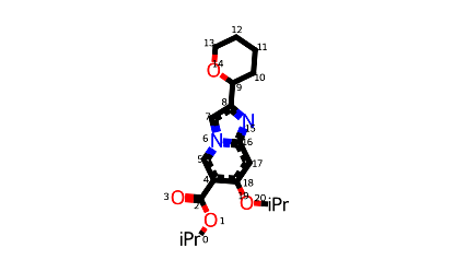 CC(C)OC(=O)c1cn2cc(C3CCCCO3)nc2cc1OC(C)C